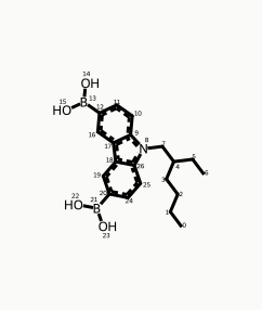 CCCCC(CC)Cn1c2ccc(B(O)O)cc2c2cc(B(O)O)ccc21